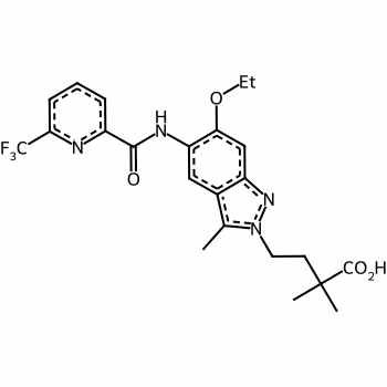 CCOc1cc2nn(CCC(C)(C)C(=O)O)c(C)c2cc1NC(=O)c1cccc(C(F)(F)F)n1